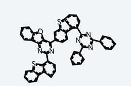 c1ccc(-c2nc(-c3ccccc3)nc(-c3cccc4sc5cc(-c6nc(-c7cccc8c7sc7ccccc78)nc7c6oc6ccccc67)ccc5c34)n2)cc1